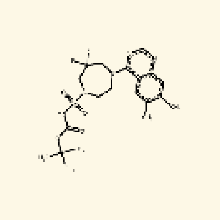 Cc1cc2ncnc(N3CCN(S(=O)(=O)NC(=O)OC(C)(C)C)CC(F)(F)C3)c2cc1C